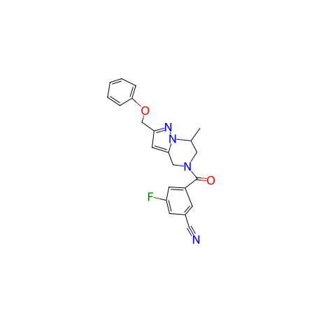 CC1CN(C(=O)c2cc(F)cc(C#N)c2)Cc2cc(COc3ccccc3)nn21